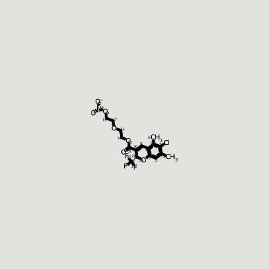 Cc1cc2c(c(C)c1Cl)C=C(C(=O)OCCOCCO[N+](=O)[O-])[C@@H](C(F)(F)F)O2